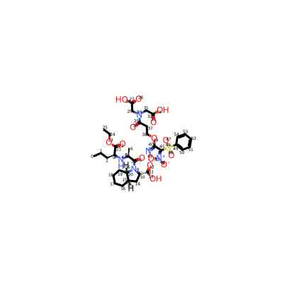 CCC[C@H](N[C@@H](C)C(=O)N1[C@H](C(=O)O)C[C@@H]2CCCC[C@@H]21)C(=O)OCC.O=C(O)CN(CC(=O)O)C(=O)CCOc1no[n+]([O-])c1S(=O)(=O)c1ccccc1